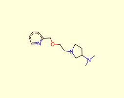 CN(C)C1CCN(CCOCc2ccccn2)C1